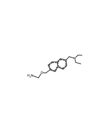 CCN(CC)Cc1ccc2cc(COCN)ccc2c1